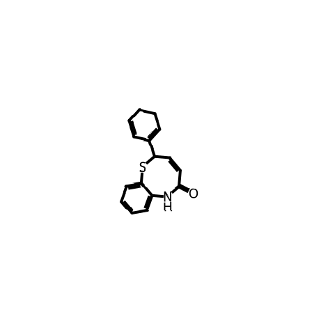 O=C1C=CC(C2=CCCC=C2)Sc2ccccc2N1